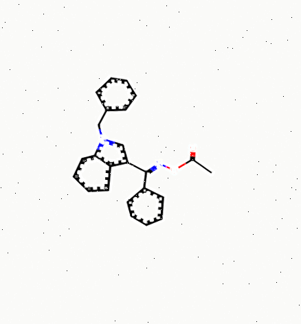 CC(=O)O/N=C(\c1ccccc1)c1cn(Cc2ccccc2)c2ccccc12